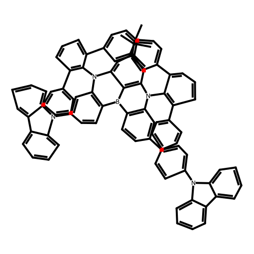 CC(C)(C)c1cc2c3c(c1)N(c1c(-c4ccccc4)cccc1-c1ccccc1)c1cc(-n4c5ccccc5c5ccccc54)ccc1B3c1ccc(-c3ccc(-n4c5ccccc5c5ccccc54)cc3)cc1N2c1c(-c2ccccc2)cccc1-c1ccccc1